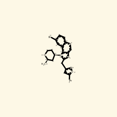 CC(C)c1cc(Cc2nc3cnc4ccc(Br)cc4c3n2[C@@H]2CCO[C@H](C)C2)no1